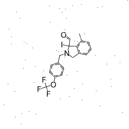 Cc1cccc2c1C(I)(C=O)N(Cc1ccc(OC(F)(F)F)cc1)C2